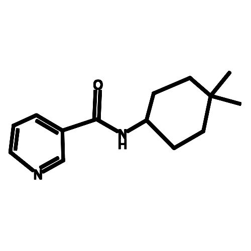 CC1(C)CCC(NC(=O)c2cccnc2)CC1